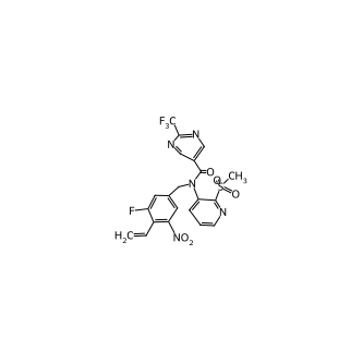 C=Cc1c(F)cc(CN(C(=O)c2cnc(C(F)(F)F)nc2)c2cccnc2S(C)(=O)=O)cc1[N+](=O)[O-]